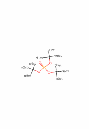 CCCCCCCCC(CCCCCC)(CCCCCC)OP(=O)(OC(CCCCCC)(CCCCCC)CCCCCCCC)OC(CCCCCC)(CCCCCC)CCCCCCCC